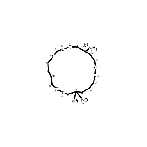 CC[C@@]1(C)CCCCCCCCCCCCC(N=O)(C(C)C)CCCCCCC1